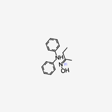 CC/C(C)=N/O.c1ccc(Nc2ccccc2)cc1